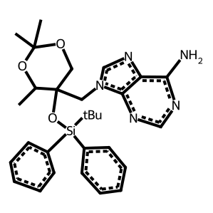 CC1OC(C)(C)OCC1(Cn1cnc2c(N)ncnc21)O[Si](c1ccccc1)(c1ccccc1)C(C)(C)C